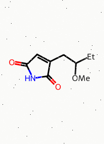 CCC(CC1=CC(=O)NC1=O)OC